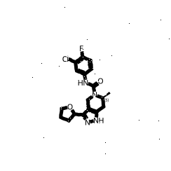 C[C@H]1Cc2[nH]nc(C3CCCO3)c2CN1C(=O)Nc1ccc(F)c(Cl)c1